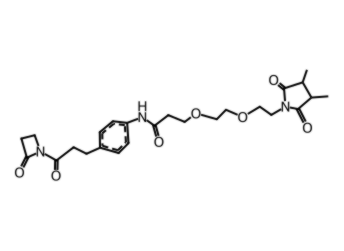 CC1C(=O)N(CCOCCOCCC(=O)Nc2ccc(CCC(=O)N3CCC3=O)cc2)C(=O)C1C